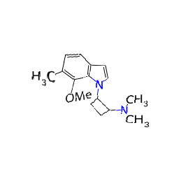 COc1c(C)ccc2ccn(C3CCC3N(C)C)c12